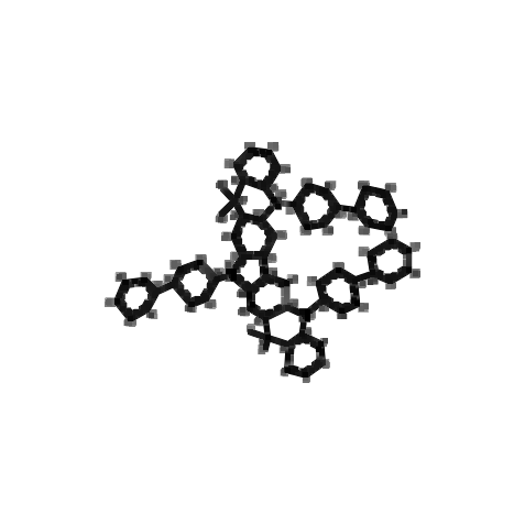 CC1(C)c2ccccc2N(c2ccc(-c3ccccc3)cc2)c2cc3c4cc5c(cc4n(-c4ccc(-c6ccccc6)cc4)c3cc21)C(C)(C)c1ccccc1N5c1ccc(-c2ccccc2)cc1